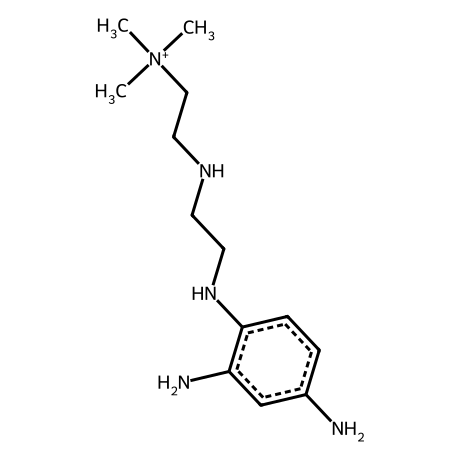 C[N+](C)(C)CCNCCNc1ccc(N)cc1N